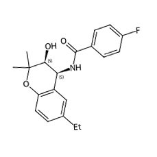 CCc1ccc2c(c1)[C@H](NC(=O)c1ccc(F)cc1)[C@H](O)C(C)(C)O2